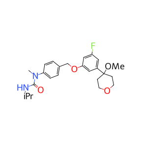 COC1(c2cc(F)cc(OCc3ccc(N(C)C(=O)NC(C)C)cc3)c2)CCOCC1